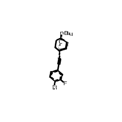 CCCCC12CCC(C#Cc3ccc(CC)c(F)c3)(CC1)CC2